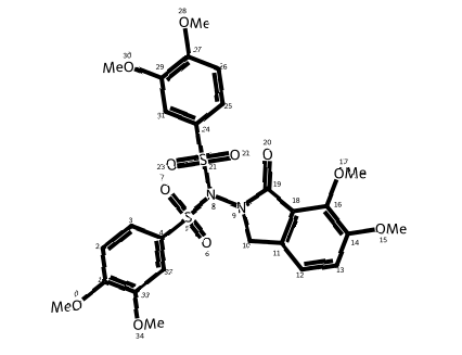 COc1ccc(S(=O)(=O)N(N2Cc3ccc(OC)c(OC)c3C2=O)S(=O)(=O)c2ccc(OC)c(OC)c2)cc1OC